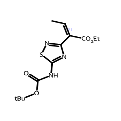 C/C=C(/C(=O)OCC)c1nsc(NC(=O)OC(C)(C)C)n1